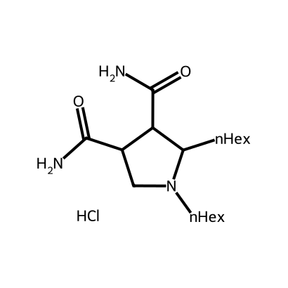 CCCCCCC1C(C(N)=O)C(C(N)=O)CN1CCCCCC.Cl